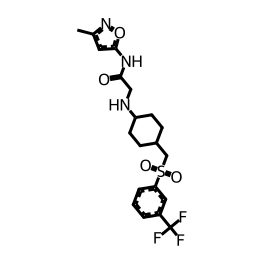 Cc1cc(NC(=O)CNC2CCC(CS(=O)(=O)c3cccc(C(F)(F)F)c3)CC2)on1